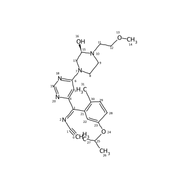 C#C/N=C(/c1cc(N2CCN(CCOC)[C@H](O)C2)ncn1)c1cc(OC(C)C)ccc1C